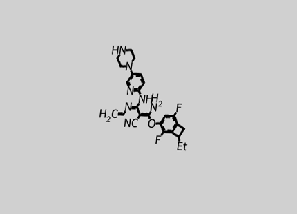 C=C/N=C(Nc1ccc(N2CCNCC2)cn1)\C(C#N)=C(/N)Oc1cc(F)c2c(c1F)C(CC)C2